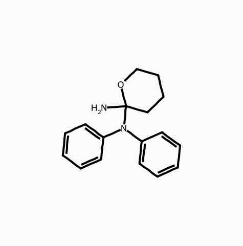 NC1(N(c2ccccc2)c2ccccc2)CCCCO1